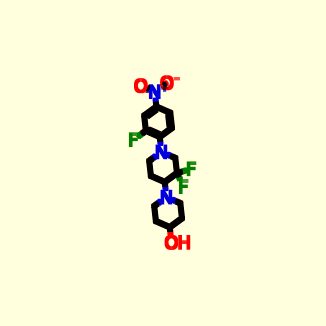 O=[N+]([O-])c1ccc(N2CCC(N3CCC(O)CC3)C(F)(F)C2)c(F)c1